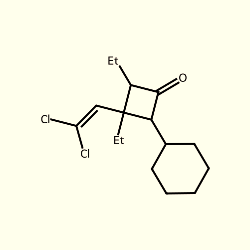 CCC1C(=O)C(C2CCCCC2)C1(C=C(Cl)Cl)CC